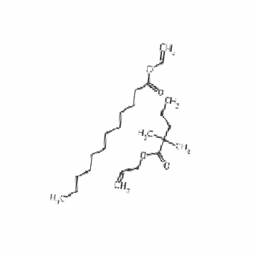 C=CCOC(=O)C(C)(C)CCC.C=COC(=O)CCCCCCCCCCC